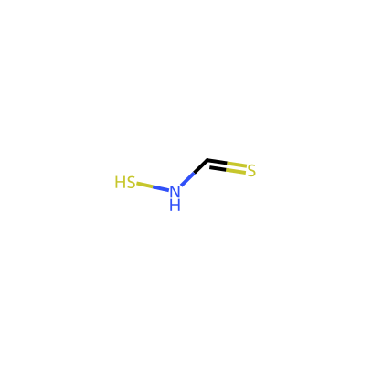 S=CNS